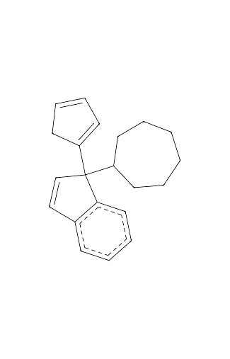 C1=CCC(C2(C3CCCCCC3)C=Cc3ccccc32)=C1